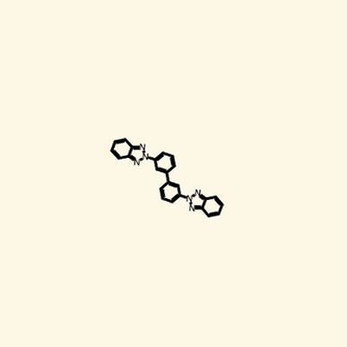 c1cc(-c2cccc(-n3nc4ccccc4n3)c2)cc(-n2nc3ccccc3n2)c1